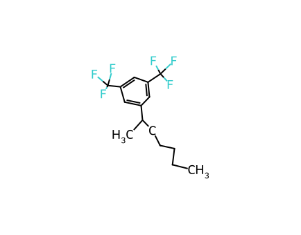 CCCCCC(C)c1cc(C(F)(F)F)cc(C(F)(F)F)c1